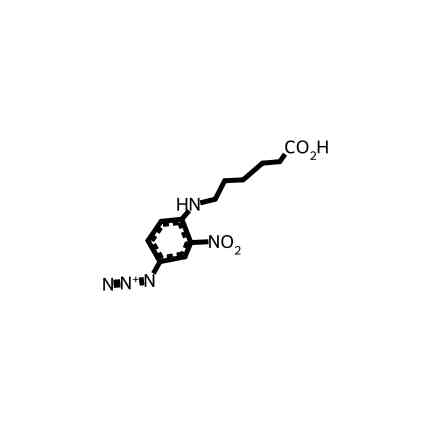 [N-]=[N+]=Nc1ccc(NCCCCCC(=O)O)c([N+](=O)[O-])c1